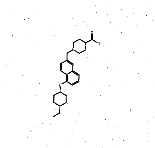 CC[C@H]1CC[C@@H](Oc2cccc3cc(CN4CCC(C(=O)O)CC4)ccc23)CC1